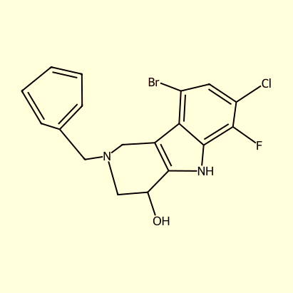 OC1CN(Cc2ccccc2)Cc2c1[nH]c1c(F)c(Cl)cc(Br)c21